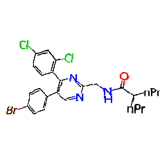 CCCC(CCC)C(=O)NCc1ncc(-c2ccc(Br)cc2)c(-c2ccc(Cl)cc2Cl)n1